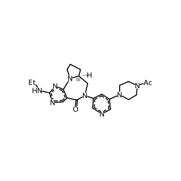 CCNc1ncc2c(n1)N1CCC[C@H]1CN(c1cncc(N3CCN(C(C)=O)CC3)c1)C2=O